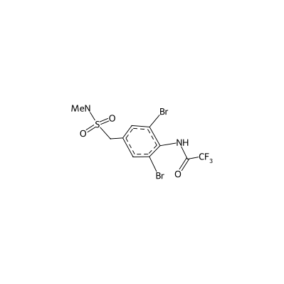 CNS(=O)(=O)Cc1cc(Br)c(NC(=O)C(F)(F)F)c(Br)c1